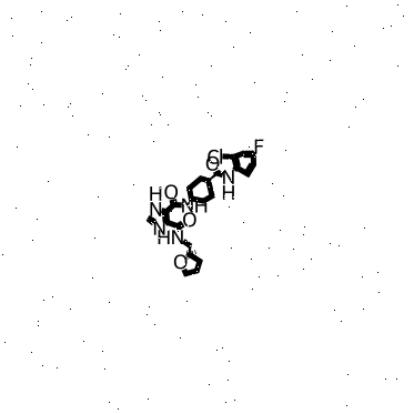 O=C(NC[C@H]1CCCO1)c1nc[nH]c1C(=O)N[C@H]1CC[C@H](C(=O)Nc2ccc(F)cc2Cl)CC1